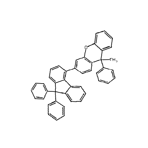 CC1(c2ccccc2)c2ccccc2Oc2cc(-c3cccc4c3-c3ccccc3C4(c3ccccc3)c3ccccc3)ccc21